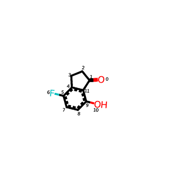 O=C1CCc2c(F)ccc(O)c21